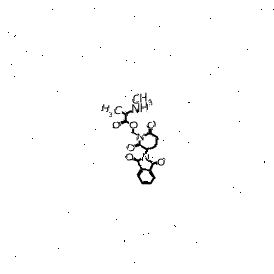 CNC(C)C(=O)OCN1C(=O)CCC(N2C(=O)c3ccccc3C2=O)C1=O